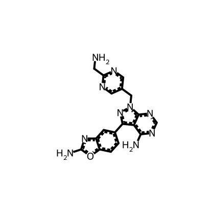 NCc1ncc(Cn2nc(-c3ccc4oc(N)nc4c3)c3c(N)ncnc32)cn1